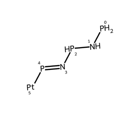 PNPN=[P][Pt]